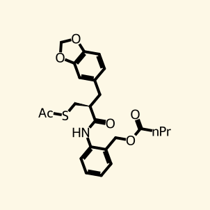 CCCC(=O)OCc1ccccc1NC(=O)[C@@H](CSC(C)=O)Cc1ccc2c(c1)OCO2